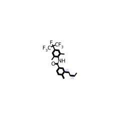 C=c1ccc(C(=O)Nc2c(C)cc(C(F)(C(F)(F)F)C(F)(F)F)cc2C)c/c1=C/C=C\C